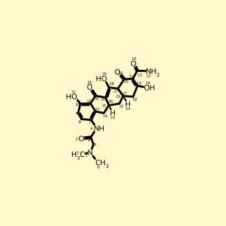 CN(C)CC(=O)Nc1ccc(O)c2c1C[C@H]1C[C@H]3CC(O)=C(C(N)=O)C(=O)C3C(O)=C1C2=O